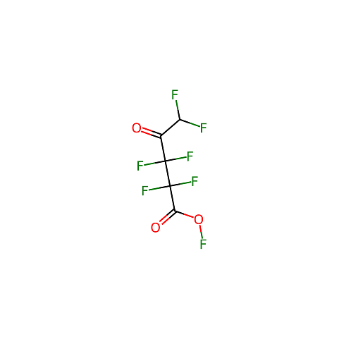 O=C(OF)C(F)(F)C(F)(F)C(=O)C(F)F